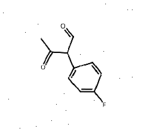 CC(=O)C(C=O)c1ccc(F)cc1